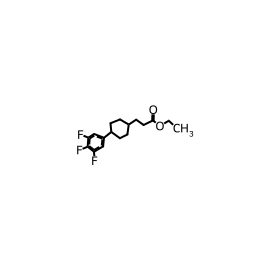 CCOC(=O)CCC1CCC(c2cc(F)c(F)c(F)c2)CC1